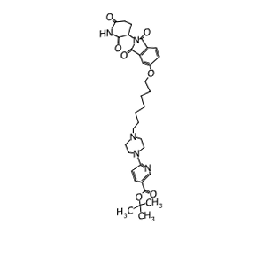 CC(C)(C)OC(=O)c1ccc(N2CCN(CCCCCCCOc3ccc4c(c3)C(=O)N(C3CCC(=O)NC3=O)C4=O)CC2)nc1